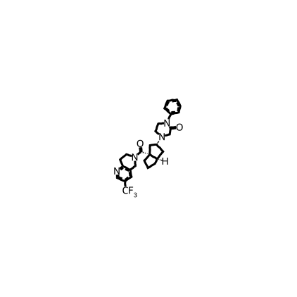 O=C1CN([C@@H]2C[C@H]3CCC[C@@]3(C(=O)N3CCc4ncc(C(F)(F)F)cc4C3)C2)CCN1c1ccccc1